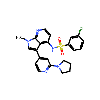 Cn1cc(-c2ccnc(N3CCCC3)c2)c2c(NS(=O)(=O)c3cccc(Cl)c3)ccnc21